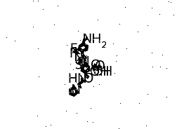 NCc1ccc(-c2cn3c(n2)sc2cc(C(=O)NCCCN4CCCCC4)ccc23)c(C(F)(F)F)c1.O=CO.O=CO